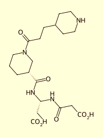 O=C(O)CC(=O)N[C@H](CC(=O)O)NC(=O)[C@@H]1CCCN(C(=O)CCC2CCNCC2)C1